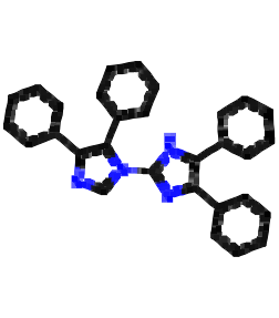 c1ccc(-c2nc(-n3cnc(-c4ccccc4)c3-c3ccccc3)[nH]c2-c2ccccc2)cc1